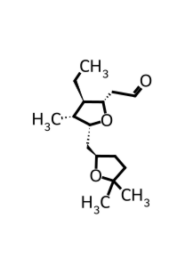 CC[C@@H]1[C@@H](C)[C@@H](C[C@H]2CCC(C)(C)O2)O[C@H]1CC=O